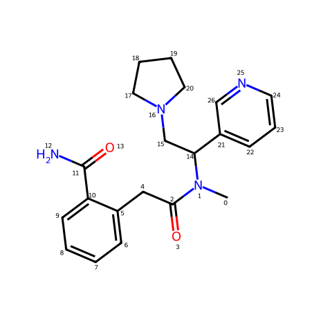 CN(C(=O)Cc1ccccc1C(N)=O)C(CN1CCCC1)c1cccnc1